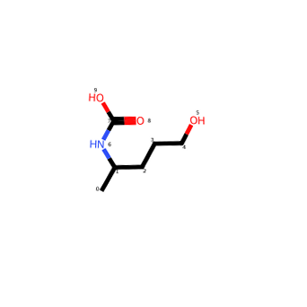 CC(CCCO)NC(=O)O